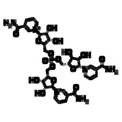 NC(=O)c1ccc[n+]([C@@H]2O[C@H](COP(=O)(OC[C@H]3O[C@@H]([n+]4cccc(C(N)=O)c4)[C@H](O)[C@@H]3O)OC[C@H]3O[C@@H]([n+]4cccc(C(N)=O)c4)[C@H](O)[C@@H]3O)[C@@H](O)[C@H]2O)c1